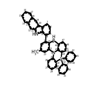 Cc1cc(-c2cccc3c2[nH]c2cc4ccccc4cc23)c2c(c1)N1c3ccccc3S(c3ccccc3)(c3ccccc3)c3cccc(c31)B2